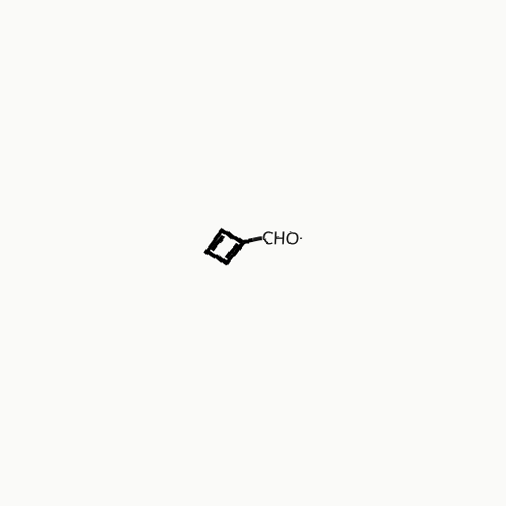 O=[C]C1=CC=C1